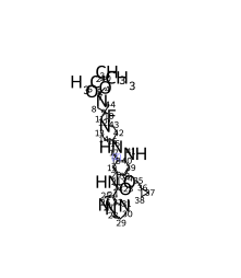 CC(C)(C)OC(=O)N1CC(F)(CN2CCC(N/C=C3/C=C(NC(=O)c4cnn5cccnc45)C(OCC4CC4)=CC3=N)CC2)C1